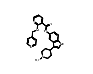 CN1CCC(c2c[nH]c3ccc(NC(=O)c4cccnc4NCc4ccncc4)cc23)CC1